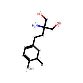 CCCCCCCCC1=CC=C(CCC(N)(CO)CO)CC1C